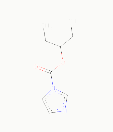 CCC(CC)OC(=O)n1ccnc1